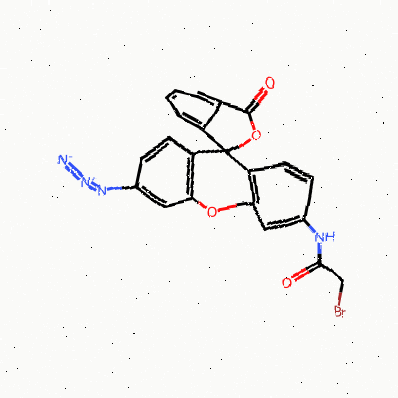 [N-]=[N+]=Nc1ccc2c(c1)Oc1cc(NC(=O)CBr)ccc1C21OC(=O)c2ccccc21